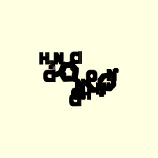 CN1CC[N+](C)(CC(=O)N(O)c2cc(Cl)c(N)c(Cl)c2)CC1.[Cl-]